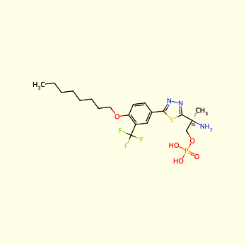 CCCCCCCCOc1ccc(-c2nnc([C@@](C)(N)COP(=O)(O)O)s2)cc1C(F)(F)F